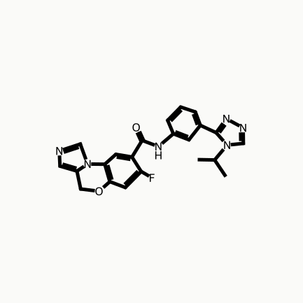 CC(C)n1cnnc1-c1cccc(NC(=O)c2cc3c(cc2F)OCc2cncn2-3)c1